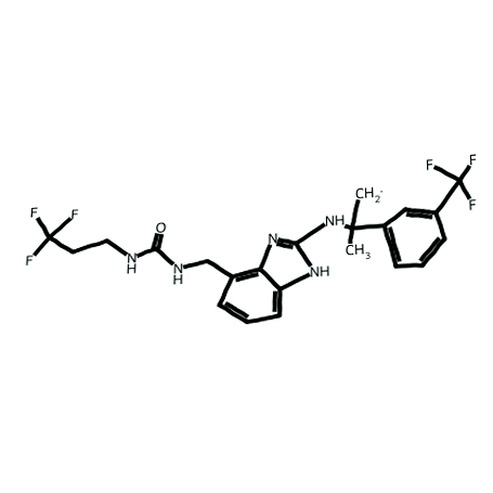 [CH2]C(C)(Nc1nc2c(CNC(=O)NCCC(F)(F)F)cccc2[nH]1)c1cccc(C(F)(F)F)c1